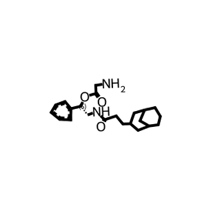 NCC(=O)O[C@H](CNC(=O)CCC1CC2CCCC(C2)C1)c1ccccc1